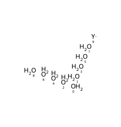 O.O.O.O.O.O.O.O.O.[Y]